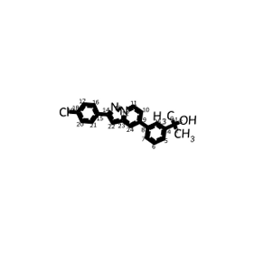 CC(C)(O)c1cccc(-c2ccn3nc(-c4ccc(Cl)cc4)cc3c2)c1